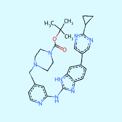 CC(C)(C)OC(=O)N1CCN(Cc2ccnc(Nc3nc4ccc(-c5cnc(C6CC6)nc5)cc4[nH]3)c2)CC1